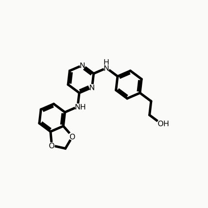 OCCc1ccc(Nc2nccc(Nc3cccc4c3OCO4)n2)cc1